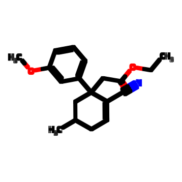 CCOC(=O)CC1(c2cccc(OC)c2)CC(C)CC=C1C#N